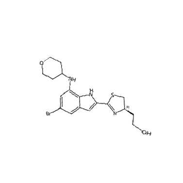 OCC[C@@H]1CSC(c2cc3cc(Br)cc(NC4CCOCC4)c3[nH]2)=N1